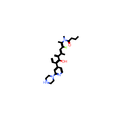 C=C/C(=C(/O)C(=C)/C(C)=C/C(F)=C(\C)N(C)C(=O)CCC)c1ccnc(N2CCNCC2)c1